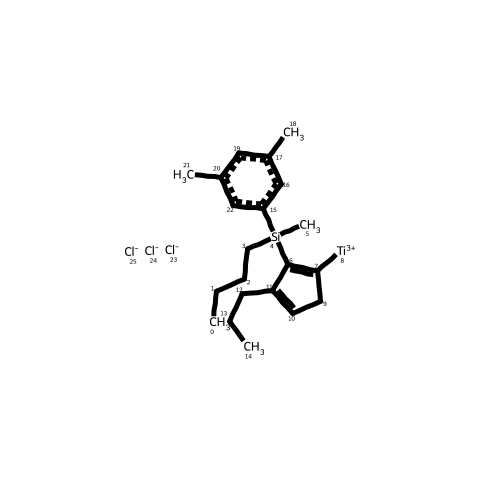 CCCC[Si](C)(C1=[C]([Ti+3])CC=C1CCC)c1cc(C)cc(C)c1.[Cl-].[Cl-].[Cl-]